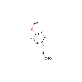 CCCOc1ccc(C=C[C]=O)cc1